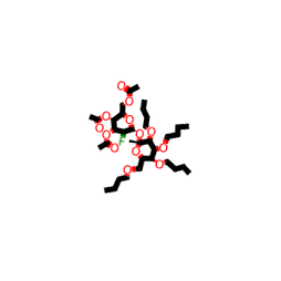 CCCCOCC1O[C@](C)(O[C@H]2OC(COC(C)=O)[C@@H](OC(C)=O)C(OC(C)=O)C2F)C(OCCCC)C(OCCCC)[C@H]1OCCCC